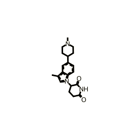 Cc1cn(C2CCC(=O)NC2=O)c2ccc(C3CCN(C)CC3)cc12